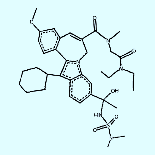 CCN(CC)C(=O)CN(C)C(=O)C1=Cc2cc(OC)ccc2-c2c(C3CCCCC3)c3ccc(C(C)(O)NS(=O)(=O)N(C)C)cc3n2C1